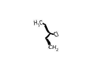 C=C/C(Cl)=C\C